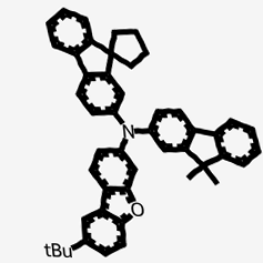 CC(C)(C)c1ccc2oc3cc(N(c4ccc5c(c4)C(C)(C)c4ccccc4-5)c4ccc5c(c4)C4(CCCC4)c4ccccc4-5)ccc3c2c1